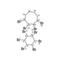 BrC1C(Br)C(Br)C(Br)C(Br)C1Br.BrC1CCCCC(Br)C(Br)C1Br